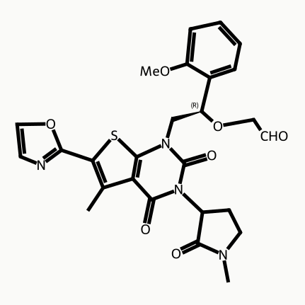 COc1ccccc1[C@H](Cn1c(=O)n(C2CCN(C)C2=O)c(=O)c2c(C)c(-c3ncco3)sc21)OCC=O